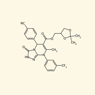 CC1=C(C(=O)OCC2COC(C)(C)O2)C(c2ccc(C#N)cc2)n2c(n[nH]c2=O)N1c1cccc(C(F)(F)F)c1